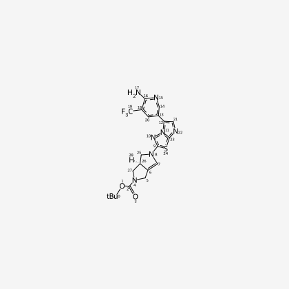 CC(C)(C)OC(=O)N1CC2=CN(c3nn4c(-c5cnc(N)c(C(F)(F)F)c5)cnc4s3)C[C@@H]2C1